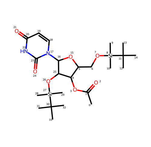 CC(=O)OC1C(CO[Si](C)(C)C(C)(C)C)OC(n2ccc(=O)[nH]c2=O)C1O[Si](C)(C)C(C)(C)C